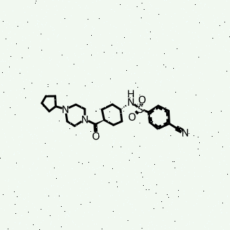 N#Cc1ccc(S(=O)(=O)N[C@H]2CC[C@H](C(=O)N3CCN(C4CCCC4)CC3)CC2)cc1